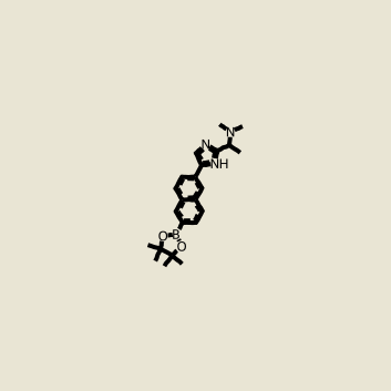 CC(c1ncc(-c2ccc3cc(B4OC(C)(C)C(C)(C)O4)ccc3c2)[nH]1)N(C)C